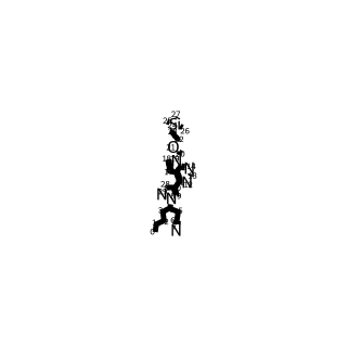 CCCCC(CC#N)n1cc(-c2ncnc3c2ccn3COCC[Si](C)(C)C)cn1